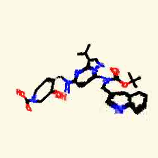 CC(C)c1cnn2c(N(Cc3cnc4ccccc4c3)C(=O)OC(C)(C)C)cc(NC[C@H]3CCN(C(=O)O)C[C@@H]3O)nc12